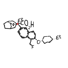 CC[C@@H](c1ccc2c(CF)c(O[C@H]3CC[C@@H](CC)CC3)ccc2c1)N1C2CCC1CC(C(=O)O)C2